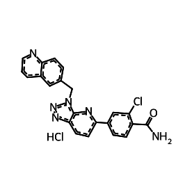 Cl.NC(=O)c1ccc(-c2ccc3nnn(Cc4ccc5ncccc5c4)c3n2)cc1Cl